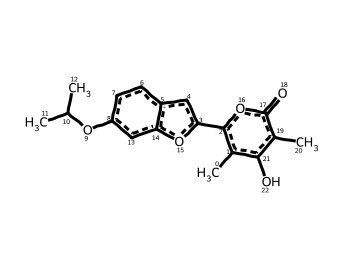 Cc1c(-c2cc3ccc(OC(C)C)cc3o2)oc(=O)c(C)c1O